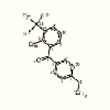 C[CH]c1cnc(C(=O)c2cccc(C(F)(F)F)c2Cl)cn1